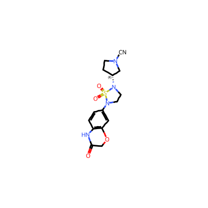 N#CN1CC[C@@H](N2CCN(c3ccc4c(c3)OCC(=O)N4)S2(=O)=O)C1